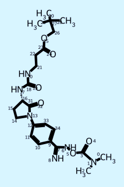 CN(C)C(=O)ONC(=N)c1ccc(N2CC[C@H](NC(=O)NCCC(=O)OCC(C)(C)C)C2=O)cc1